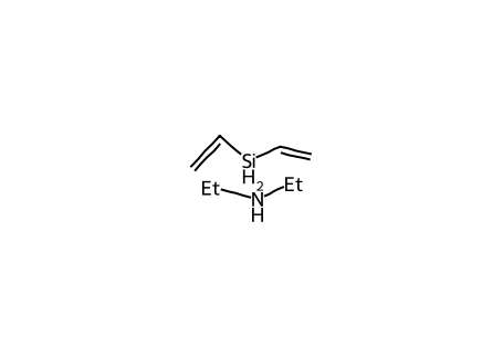 C=C[SiH2]C=C.CCNCC